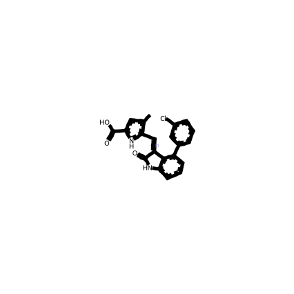 Cc1cc(C(=O)O)[nH]c1/C=C1\C(=O)Nc2cccc(-c3cccc(Cl)c3)c21